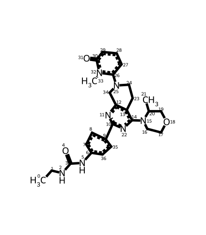 CCNC(=O)Nc1ccc(-c2nc3c(c(N4CCOCC4C)n2)CCN(c2cccc(=O)n2C)C3)cc1